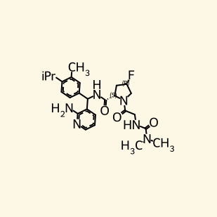 Cc1cc(C(NC(=O)[C@@H]2C[C@@H](F)CN2C(=O)CNC(=O)N(C)C)c2cccnc2N)ccc1C(C)C